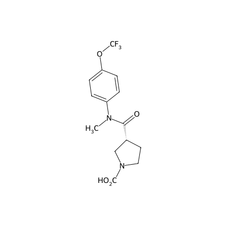 CN(C(=O)[C@@H]1CCN(C(=O)O)C1)c1ccc(OC(F)(F)F)cc1